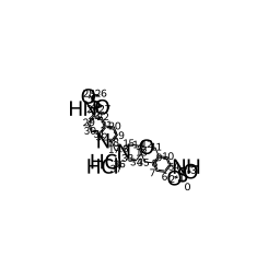 CS(=O)(=O)Nc1ccc2c(c1)COC1(CCN(Cc3ccc4cc(NS(C)(=O)=O)ccc4n3)CC1)C2.Cl.Cl